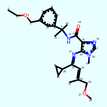 CCOCc1cccc(C(C)(C)NC(=O)c2ncn(C)c2/N=C(\C=C(/C)COC)C2CC2)c1